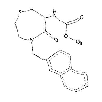 CC(C)(C)OC(=O)NC1CSCCN(Cc2ccc3ccccc3c2)C1=O